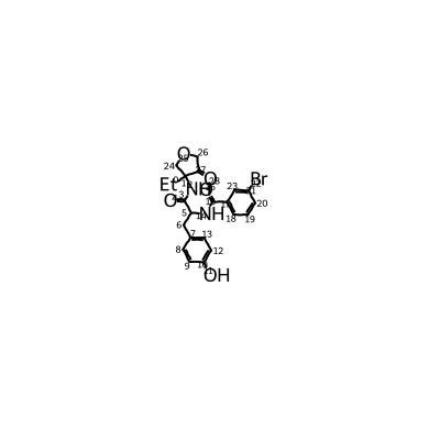 CCC1(NC(=O)C(Cc2ccc(O)cc2)NC(=O)c2cccc(Br)c2)COCC1=O